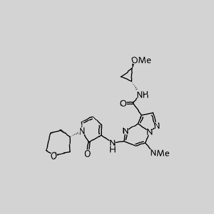 CNc1cc(Nc2cccn([C@H]3CCCOC3)c2=O)nc2c(C(=O)N[C@@H]3C[C@H]3OC)cnn12